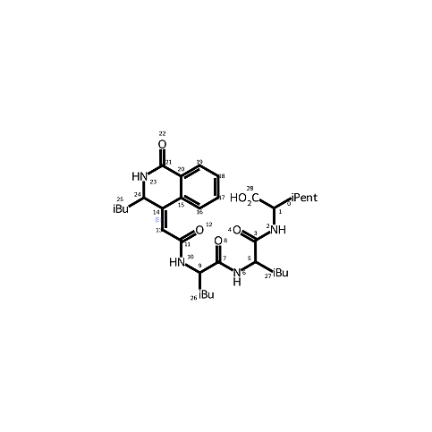 CCCC(C)C(NC(=O)C(NC(=O)C(NC(=O)/C=C1\c2ccccc2C(=O)NC1C(C)CC)C(C)CC)C(C)CC)C(=O)O